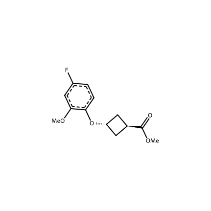 COc1cc(F)ccc1O[C@H]1C[C@H](C(=O)OC)C1